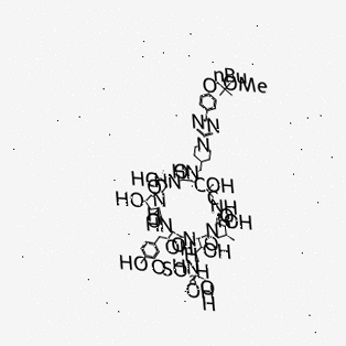 CCCCC(Oc1ccc(-c2ncc(N3CCC(CN[C@H]4C[C@@H](O)CNC(=O)[C@@H]5[C@@H](O)[C@@H](C)CN5C(=O)[C@H]([C@H](O)CCNC(CO)CO)NC(=O)[C@H]([C@H](O)Cc5ccc(O)c(OS(=O)(=O)O)c5)NC(=O)[C@@H]5C[C@@H](O)CN5C(=O)[C@H]([C@@H](C)O)NC4=O)CC3)cn2)cc1)C(C)(C)OC